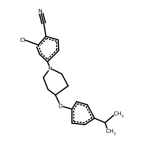 CC(C)c1ccc(OC2CCN(c3ccc(C#N)c(Cl)c3)CC2)cc1